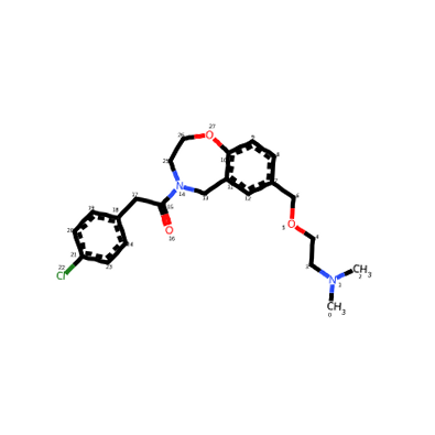 CN(C)CCOCc1ccc2c(c1)CN(C(=O)Cc1ccc(Cl)cc1)CCO2